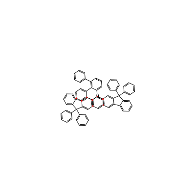 c1ccc(-c2ccccc2-c2c(-c3ccccc3)cccc2N(c2ccc3c(c2)-c2ccccc2C3(c2ccccc2)c2ccccc2)c2ccc3c(c2)C(c2ccccc2)(c2ccccc2)c2ccccc2-3)cc1